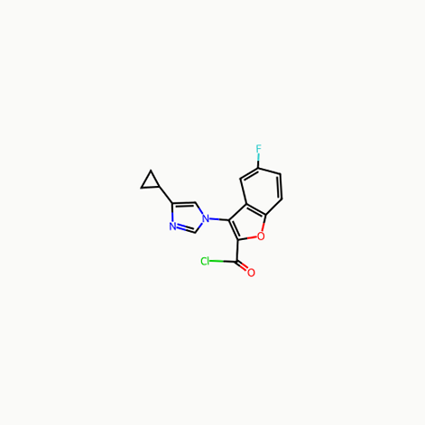 O=C(Cl)c1oc2ccc(F)cc2c1-n1cnc(C2CC2)c1